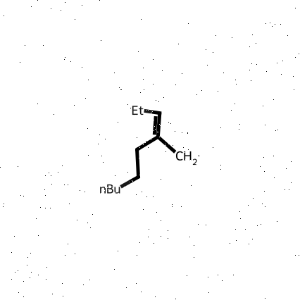 [CH2]C(=CCC)CCCCCC